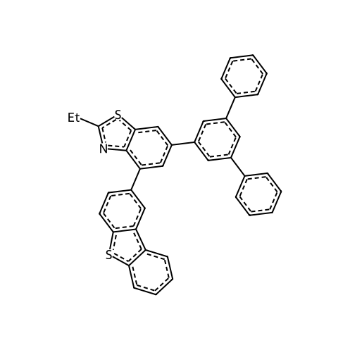 CCc1nc2c(-c3ccc4sc5ccccc5c4c3)cc(-c3cc(-c4ccccc4)cc(-c4ccccc4)c3)cc2s1